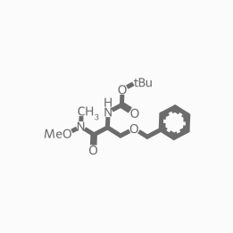 CON(C)C(=O)C(COCc1ccccc1)NC(=O)OC(C)(C)C